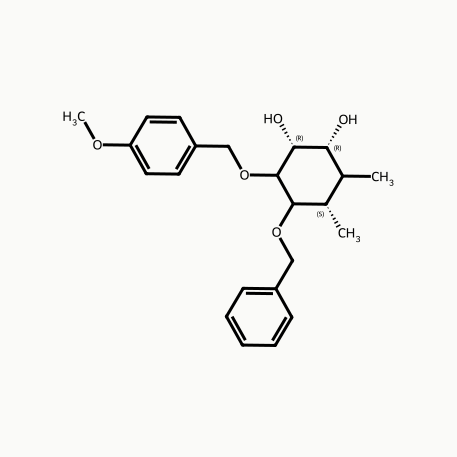 COc1ccc(COC2C(OCc3ccccc3)[C@@H](C)C(C)[C@@H](O)[C@H]2O)cc1